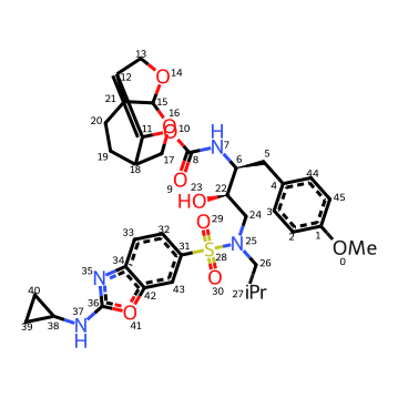 COc1ccc(C[C@H](NC(=O)OC2=C3COC4OCC2CCC34)[C@H](O)CN(CC(C)C)S(=O)(=O)c2ccc3nc(NC4CC4)oc3c2)cc1